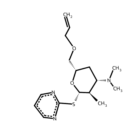 C=CCOC[C@@H]1C[C@H](N(C)C)[C@@H](C)[C@H](Sc2ncccn2)O1